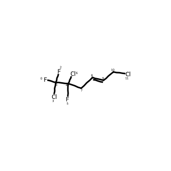 FC(F)(Cl)C(F)(Cl)CC=CCCl